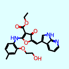 CCOC(=O)C1=C(Nc2ccc(C)cc2OCCO)OC(=Cc2c[nH]c3ncccc23)C1=O